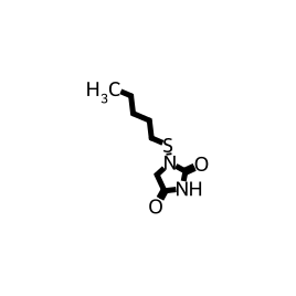 CCCCCSN1CC(=O)NC1=O